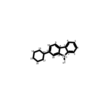 In1c2ccccc2c2ccc(C3CCCCC3)cc21